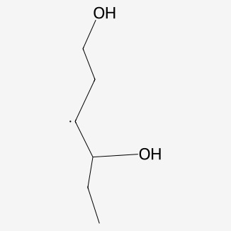 CCC(O)[CH]CCO